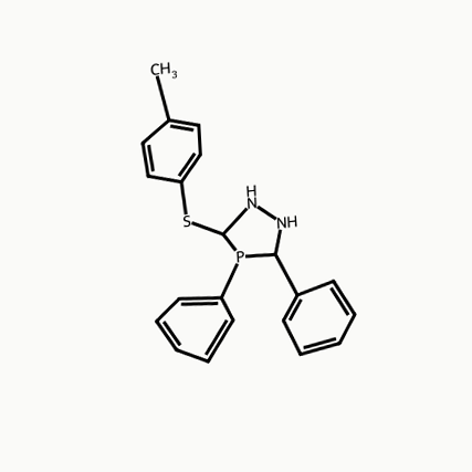 Cc1ccc(SC2NNC(c3ccccc3)P2c2ccccc2)cc1